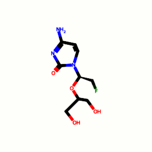 Nc1ccn([C@@H](CF)OC(CO)CO)c(=O)n1